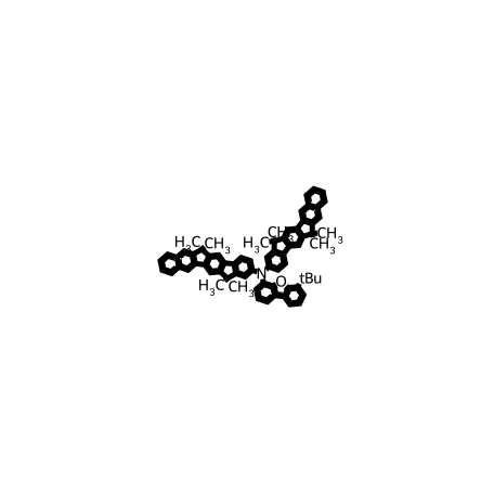 CC(C)(C)c1cccc2c1oc1c(N(c3ccc4c(c3)C(C)(C)c3cc5c(cc3-4)C(C)(C)c3cc4ccccc4cc3-5)c3ccc4c(c3)C(C)(C)c3cc5c(cc3-4)C(C)(C)c3cc4ccccc4cc3-5)cccc12